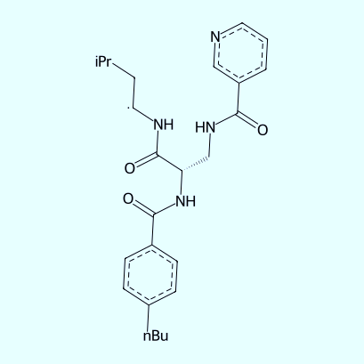 CCCCc1ccc(C(=O)N[C@@H](CNC(=O)c2cccnc2)C(=O)N[CH]CC(C)C)cc1